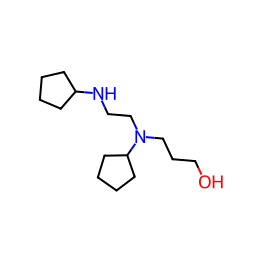 OCCCN(CCNC1CCCC1)C1CCCC1